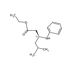 CCOC(=O)C[C@H](CC(C)C)Nc1ccccc1